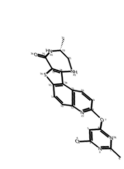 Cc1nc(Cl)cc(Oc2ccc3c(ccc4sc5c(c43)NC[C@@H](C)NC5=O)n2)n1